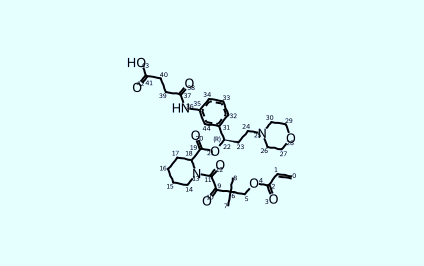 C=CC(=O)OCC(C)(C)C(=O)C(=O)N1CCCCC1C(=O)O[C@H](CCN1CCOCC1)c1cccc(NC(=O)CCC(=O)O)c1